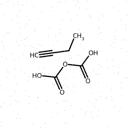 C#CCC.O=C(O)OC(=O)O